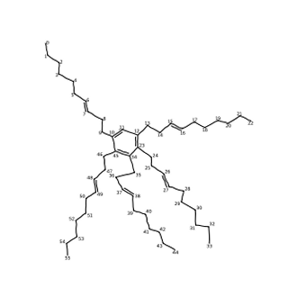 CCCCCC/C=C/CCc1[c]c(CC/C=C/CCCCCC)c(CC/C=C/CCCCCC)c(CC/C=C/CCCCCC)c1CC/C=C/CCCCCC